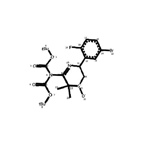 CC(C)(C)OC(=O)N(C(=O)OC(C)(C)C)C1=NC(c2cc(Br)ccc2F)C[S+]([O-])C1(C)C